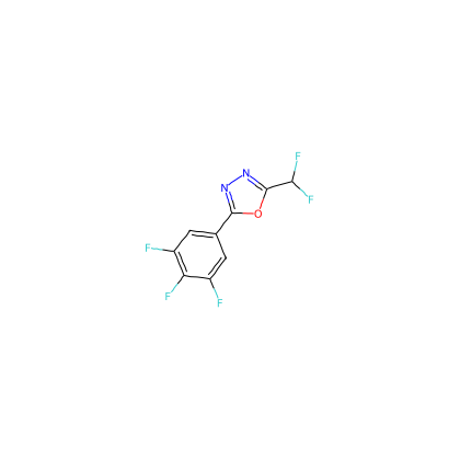 Fc1cc(-c2nnc(C(F)F)o2)cc(F)c1F